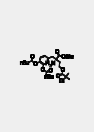 CCCCC(=O)Oc1ccc(C[C@](N)(CCOC(=O)C(C)(C)CC)C(=O)OC)cc1OC(=O)CCCC